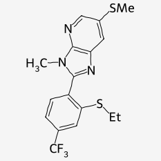 CCSc1cc(C(F)(F)F)ccc1-c1nc2cc(SC)cnc2n1C